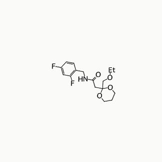 CCOCC1(CC(=O)NCc2ccc(F)cc2F)OCCCO1